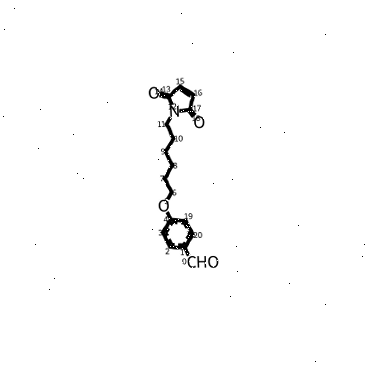 O=Cc1ccc(OCCCCCCN2C(=O)C=CC2=O)cc1